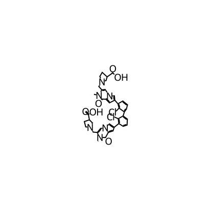 Cn1c(CN2CCC(C(=O)O)C2)cn2cc(-c3cccc(-c4cccc(-c5cc6c(=O)n(C)c(CN7CCC(C(=O)O)C7)cn6c5)c4Cl)c3Cl)cc2c1=O